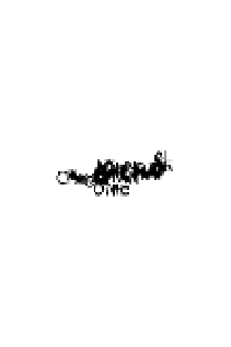 COc1cc2c(Nc3cnc(OCc4ccc(F)c(Cl)c4)nc3)ncnc2cc1OCCCCl